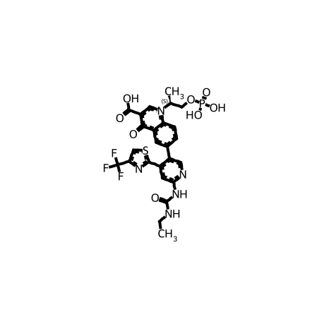 CCNC(=O)Nc1cc(-c2nc(C(F)(F)F)cs2)c(-c2ccc3c(c2)c(=O)c(C(=O)O)cn3[C@@H](C)COP(=O)(O)O)cn1